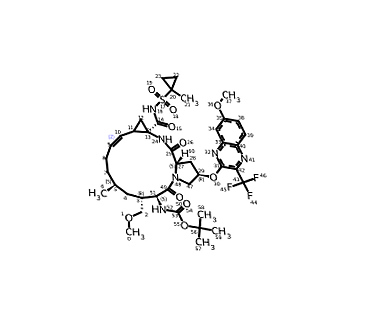 COC[C@@H]1C[C@@H](C)CC/C=C\C2C[C@@]2(C(=O)NS(=O)(=O)C2(C)CC2)NC(=O)[C@@H]2C[C@@H](Oc3nc4cc(OC)ccc4nc3C(F)(F)F)CN2C(=O)[C@H]1NC(=O)OC(C)(C)C